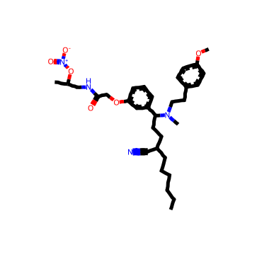 CCCCCCC(C#N)CCC(c1cccc(OCC(=O)NCC(C)O[N+](=O)[O-])c1)N(C)CCc1ccc(OC)cc1